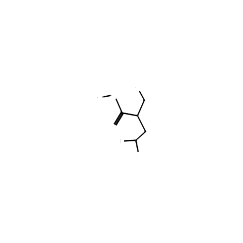 CCC(CC(F)F)C(=O)OCl